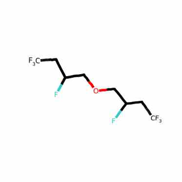 FC(COCC(F)CC(F)(F)F)CC(F)(F)F